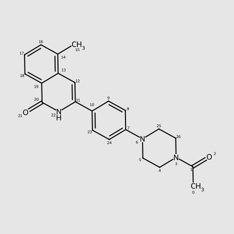 CC(=O)N1CCN(c2ccc(-c3cc4c(C)cccc4c(=O)[nH]3)cc2)CC1